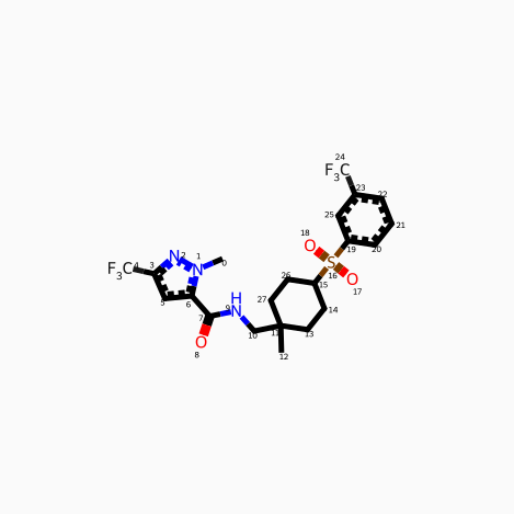 Cn1nc(C(F)(F)F)cc1C(=O)NCC1(C)CCC(S(=O)(=O)c2cccc(C(F)(F)F)c2)CC1